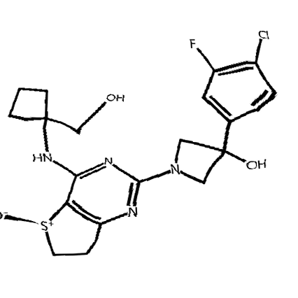 [O-][S@+]1CCc2nc(N3CC(O)(c4ccc(Cl)c(F)c4)C3)nc(NC3(CO)CCC3)c21